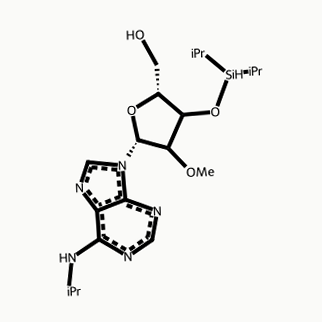 COC1C(O[SiH](C(C)C)C(C)C)[C@@H](CO)O[C@H]1n1cnc2c(NC(C)C)ncnc21